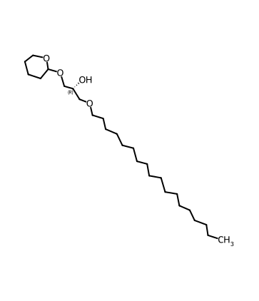 CCCCCCCCCCCCCCCCCCOC[C@@H](O)COC1CCCCO1